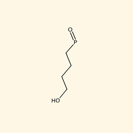 O=PCCCCO